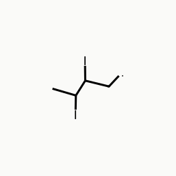 [CH2]CC(I)C(C)I